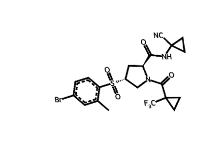 Cc1cc(Br)ccc1S(=O)(=O)[C@@H]1C[C@@H](C(=O)NC2(C#N)CC2)N(C(=O)C2(C(F)(F)F)CC2)C1